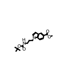 COC(=O)c1ccc2c(ccn2CCCNC(=O)OC(C)(C)C)c1